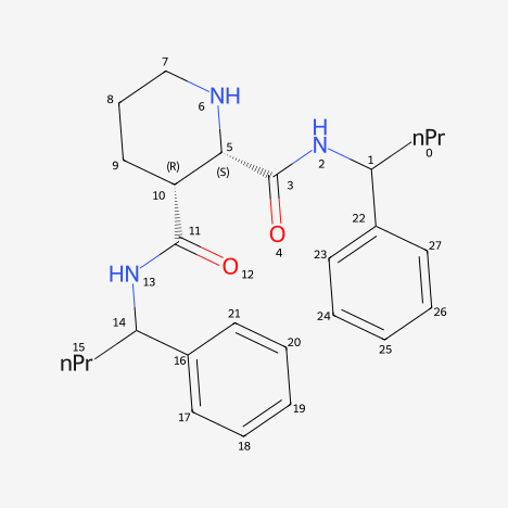 CCCC(NC(=O)[C@H]1NCCC[C@H]1C(=O)NC(CCC)c1ccccc1)c1ccccc1